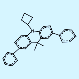 CC1(C)c2cc(-c3ccccc3)ccc2N(C2CCC2)c2ccc(-c3ccccc3)cc21